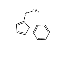 [CH3][V][C]1=CC=CC1.c1ccccc1